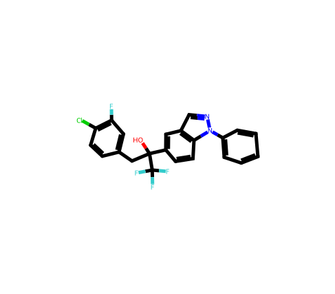 OC(Cc1ccc(Cl)c(F)c1)(c1ccc2c(cnn2-c2ccccc2)c1)C(F)(F)F